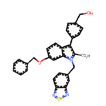 O=C(O)c1c(-c2ccc(CO)cc2)c2ccc(OCc3ccccc3)cc2n1Cc1ccc2nsnc2c1